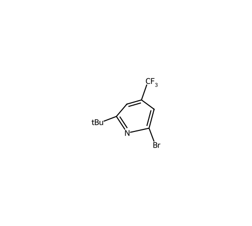 CC(C)(C)c1cc(C(F)(F)F)cc(Br)n1